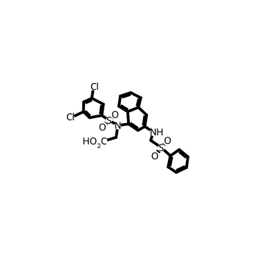 O=C(O)CN(c1cc(NCS(=O)(=O)c2ccccc2)cc2ccccc12)S(=O)(=O)c1cc(Cl)cc(Cl)c1